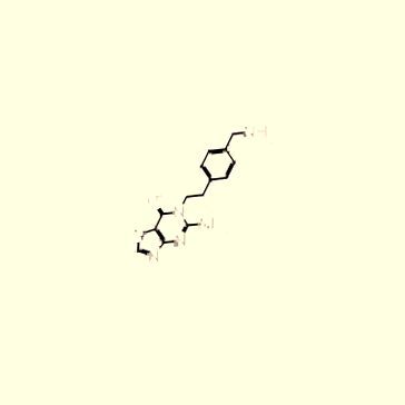 NCc1ccc(CCn2c(N)nc3nc[nH]c3c2=O)cc1